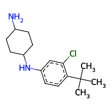 CC(C)(C)c1ccc(NC2CCC(N)CC2)cc1Cl